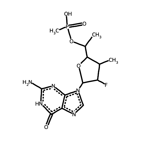 CC(OP(C)(=O)O)C1OC(n2cnc3c(=O)[nH]c(N)nc32)C(F)C1C